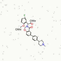 COCOc1ccc(F)cc1C(C(=O)OC)N1COc2ccc(-c3ccc(C4CCN(C)CC4)cc3)cc2C1=O